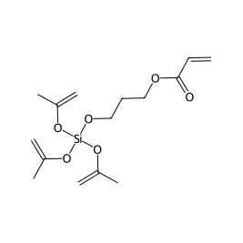 C=CC(=O)OCCCO[Si](OC(=C)C)(OC(=C)C)OC(=C)C